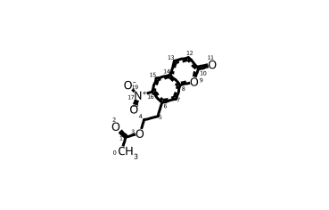 CC(=O)OCCc1cc2oc(=O)ccc2cc1[N+](=O)[O-]